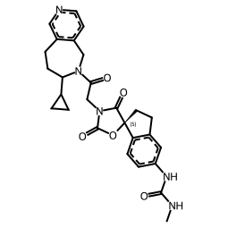 CNC(=O)Nc1ccc2c(c1)CC[C@]21OC(=O)N(CC(=O)N2Cc3ccncc3CCC2C2CC2)C1=O